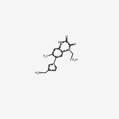 NCc1ccn(-c2cc3c(cc2C(F)(F)F)[nH]c(=O)c(=O)n3CC(=O)O)c1